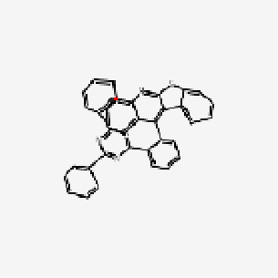 c1ccc(-c2nc(-c3ccccc3)nc(-c3ccccc3-c3c4ccccc4nc4sc5ccccc5c34)n2)cc1